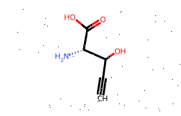 C#CC(O)[C@H](N)C(=O)O